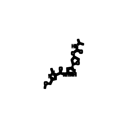 COCc1cc(C(=O)Nc2cc([C@H]3C[C@@H](OC(=O)NC(C)C)CO3)n[nH]2)n(C)n1